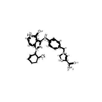 N#CC1CCCCC1n1nc(Nc2ccc(CN3C=C(C(N)=O)OC3)cc2)c2c(=O)[nH]ccc21